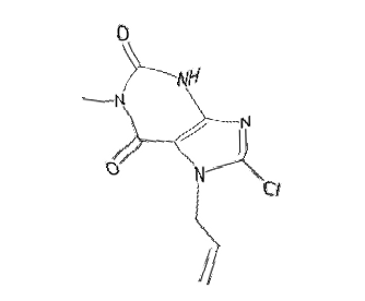 C=CCn1c(Cl)nc2[nH]c(=O)n(C)c(=O)c21